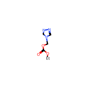 CCOC(=O)OCN1C=N[N]C1